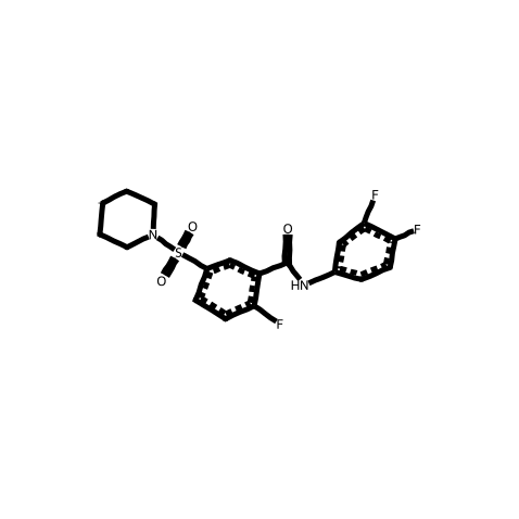 O=C(Nc1ccc(F)c(F)c1)c1cc(S(=O)(=O)N2CC[CH]CC2)ccc1F